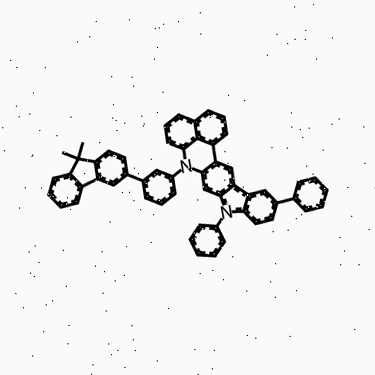 CC1(C)c2ccccc2-c2cc(-c3cccc(N4c5cc6c(cc5-c5cccc7cccc4c57)c4cc(-c5ccccc5)ccc4n6-c4ccccc4)c3)ccc21